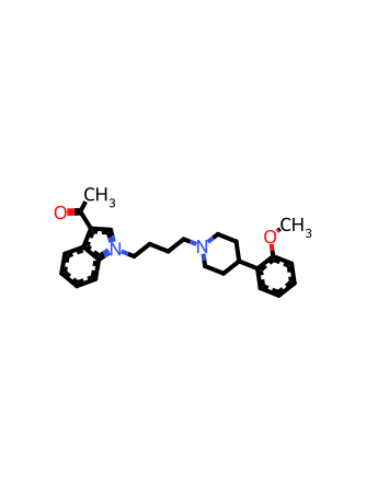 COc1ccccc1C1CCN(CCCCn2cc(C(C)=O)c3ccccc32)CC1